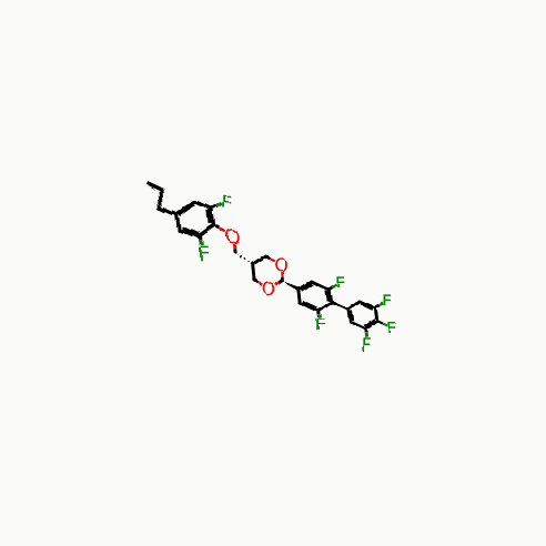 CCCc1cc(F)c(OC[C@H]2CO[C@H](c3cc(F)c(-c4cc(F)c(F)c(F)c4)c(F)c3)OC2)c(F)c1